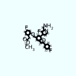 CCOC(=O)Cc1ccc(F)cc1OCc1cc(-c2ccnc(CN)c2F)c2oc(-c3ccc(F)cc3)cc2c1